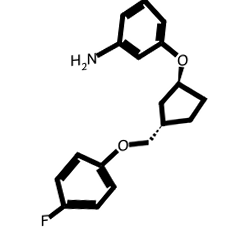 Nc1cccc(O[C@H]2CC[C@H](COc3ccc(F)cc3)C2)c1